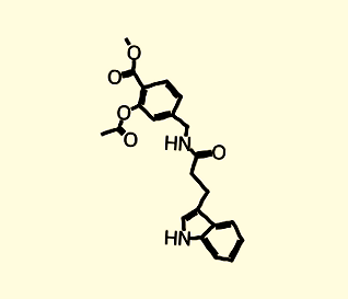 COC(=O)c1ccc(CNC(=O)CCc2c[nH]c3ccccc23)cc1OC(C)=O